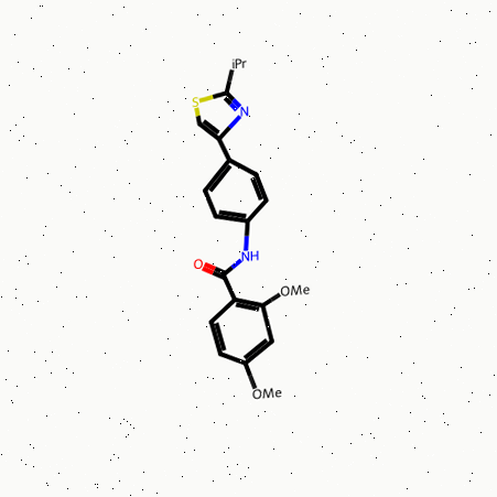 COc1ccc(C(=O)Nc2ccc(-c3csc(C(C)C)n3)cc2)c(OC)c1